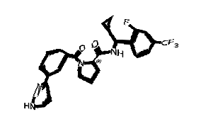 O=C(NC(c1ccc(C(F)(F)F)cc1F)C1CC1)[C@H]1CCCN1C(=O)c1cccc(-c2cc[nH]n2)c1